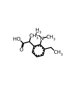 CCc1cccc(C(C)C(=O)O)c1N(C)C